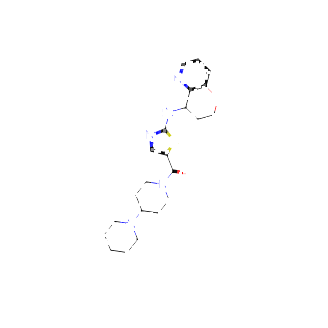 C[C@@H]1CCCN(C2CCN(C(=O)c3cnc(NC4CCOc5cccnc54)s3)CC2)C1